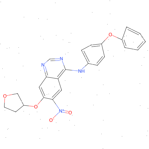 O=[N+]([O-])c1cc2c(Nc3ccc(Oc4ccccc4)cc3)ncnc2cc1OC1CCOC1